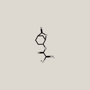 C=C(C(=O)OC1CCC2CC1OC2=O)C(F)(F)F